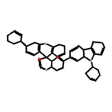 C1=CC(C2C=CC3=C(C2)SC2=C(C=CCC2)C32C3=CCCC=C3SC3CCC(C4=CC5C(C=C4)C4=C(C=CCC4)N5C4CC=CCC4)=CC32)CCC1